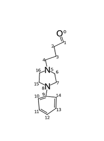 O=CCCCN1CCN(c2ccccc2)CC1